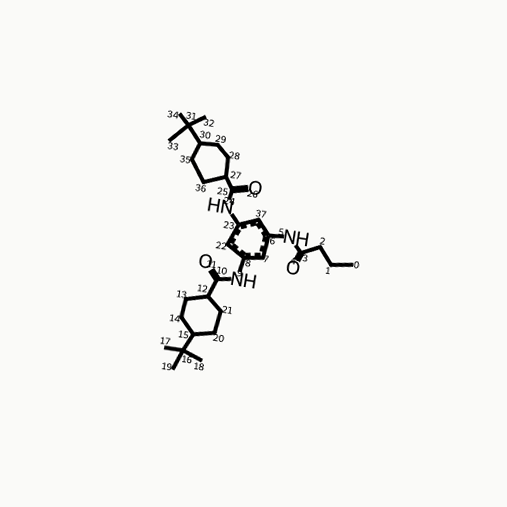 CCCC(=O)Nc1cc(NC(=O)C2CCC(C(C)(C)C)CC2)cc(NC(=O)C2CCC(C(C)(C)C)CC2)c1